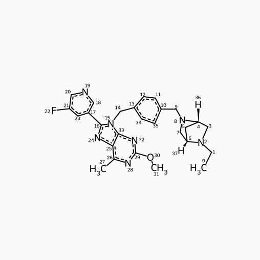 CCN1C[C@@H]2C[C@H]1CN2Cc1ccc(Cn2c(-c3cncc(F)c3)nc3c(C)nc(OC)nc32)cc1